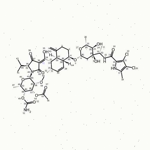 C=C1CC[C@@H](O[C@H]2C[C@@](O)([C@H](C)NC(=O)c3[nH]c(C)c(Cl)c3Cl)[C@H](O)[C@@H](C)O2)[C@@H]2C=C[C@H](C)[C@H](/C(O)=C3/C(=O)[C@H](C(C)C)N([C@@H]4O[C@@H](C)[C@@H](OC(N)=O)[C@@H](OC(C)=O)[C@H]4OC)C3=O)[C@@H]12